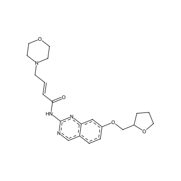 O=C(C=CCN1CCOCC1)Nc1ncc2ccc(OCC3CCCO3)cc2n1